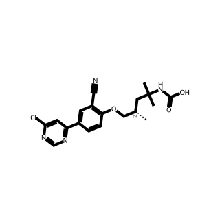 C[C@H](COc1ccc(-c2cc(Cl)ncn2)cc1C#N)CC(C)(C)NC(=O)O